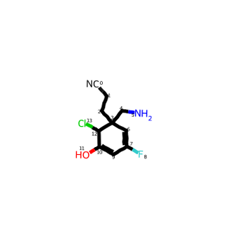 N#CCCC1(CN)C=C(F)C=C(O)C1Cl